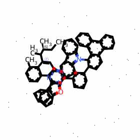 CC[C@H](C)C(C)/C(=C/c1nc(-c2ccccc2)nc(-c2cccc(-c3ccc4c5ccccc5c5ccccc5c4c3-n3c4ccccc4c4ccccc43)c2)n1)c1c(C)cccc1-c1cccc2oc3ccccc3c12